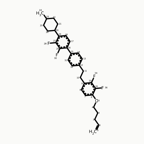 C=CCCCOc1ccc(CCc2ccc(-c3ccc(C4CCC(C)CC4)c(F)c3F)cc2)c(F)c1F